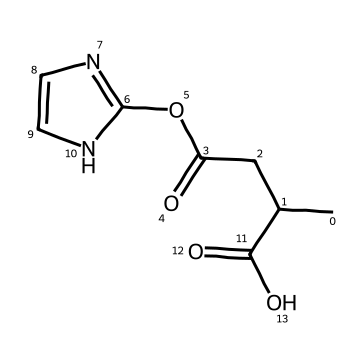 CC(CC(=O)Oc1ncc[nH]1)C(=O)O